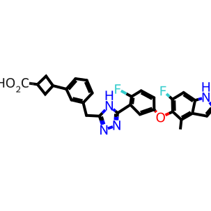 Cc1c(Oc2ccc(F)c(-c3nnc(Cc4cccc(C5CC(C(=O)O)C5)c4)[nH]3)c2)c(F)cc2[nH]ccc12